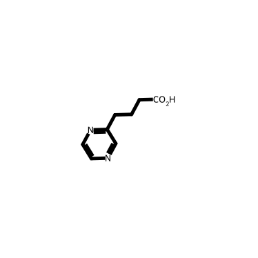 O=C(O)CCCc1cnccn1